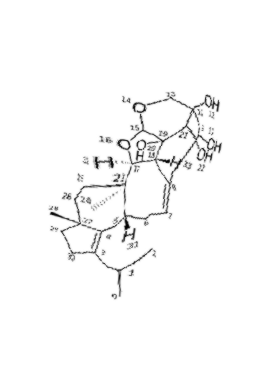 CC(C)C1=C2[C@H]3CC=C4C(O)C5(O)COC6O[C@@H]([C@@H]4C6(O)C5O)[C@]3(C)CC[C@@]2(C)CC1